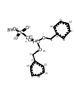 COS(=O)(=O)C(F)(F)F.O=[PH](OCc1ccccc1)OCc1ccccc1